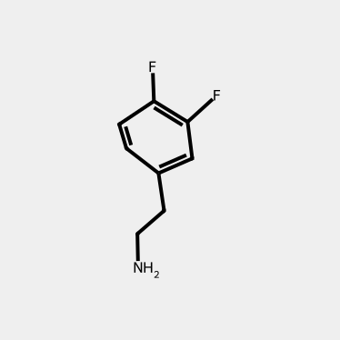 NCCc1ccc(F)c(F)c1